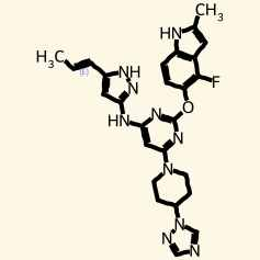 C/C=C/c1cc(Nc2cc(N3CCC(n4cncn4)CC3)nc(Oc3ccc4[nH]c(C)cc4c3F)n2)n[nH]1